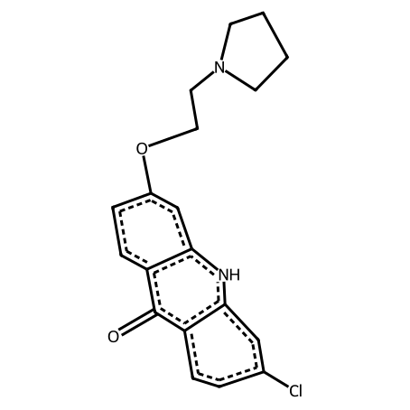 O=c1c2ccc(Cl)cc2[nH]c2cc(OCCN3CCCC3)ccc12